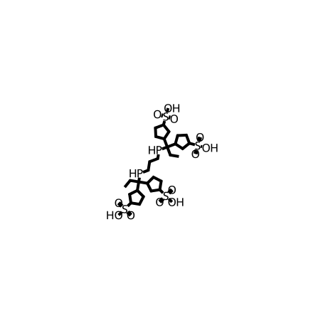 CCC(PCCCPC(CC)(C1CCC(S(=O)(=O)O)C1)C1CCC(S(=O)(=O)O)C1)(C1CCC(S(=O)(=O)O)C1)C1CCC(S(=O)(=O)O)C1